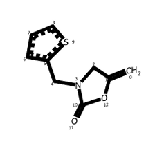 C=C1CN(Cc2cccs2)C(=O)O1